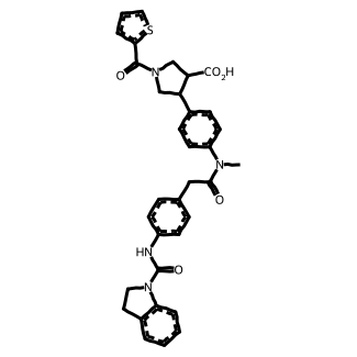 CN(C(=O)Cc1ccc(NC(=O)N2CCc3ccccc32)cc1)c1ccc(C2CN(C(=O)c3cccs3)CC2C(=O)O)cc1